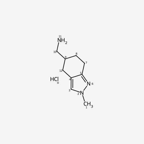 Cl.Cn1cc2c(n1)CCC(CN)C2